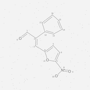 O=C/C(=C/c1ccc([N+](=O)[O-])o1)c1ccccc1